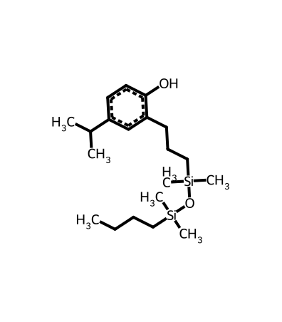 CCCC[Si](C)(C)O[Si](C)(C)CCCc1cc(C(C)C)ccc1O